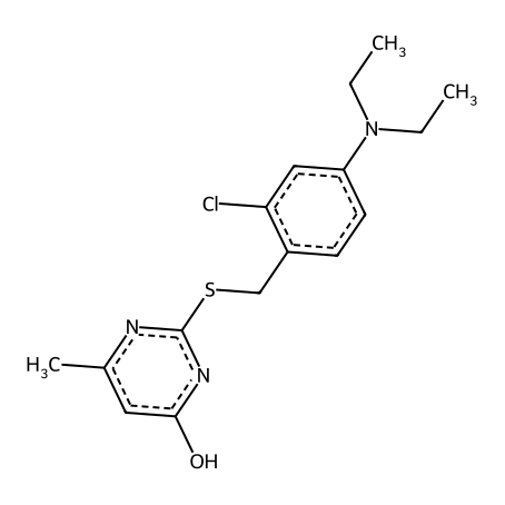 CCN(CC)c1ccc(CSc2nc(C)cc(O)n2)c(Cl)c1